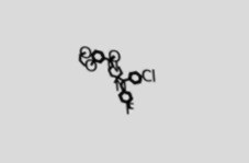 O=C(c1ccc2c(c1)OCCCO2)N1CCC2(CC1)CN(c1ccc(F)cc1)C2c1ccc(Cl)cc1